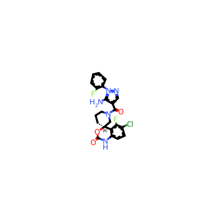 Nc1c(C(=O)N2CCC[C@@]3(C2)OC(=O)Nc2ccc(Cl)c(F)c23)cnn1-c1ccccc1F